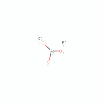 [K+].[K+].[O-][As]([O-])O